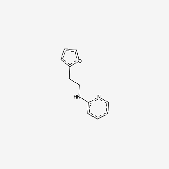 c1ccc(NCCc2ccco2)nc1